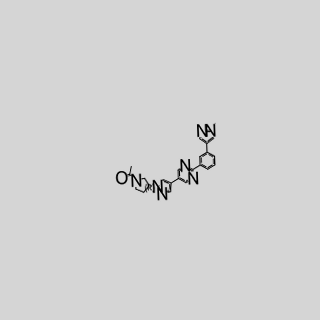 CC(=O)N1CC[C@@H](n2cc(-c3cnc(-c4cccc(-c5cnn(C)c5)c4)nc3)cn2)C1